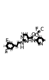 O=C(Nc1cnccc1OCC(F)(F)F)c1ccnc(NCCc2cc(F)cc(F)c2)n1